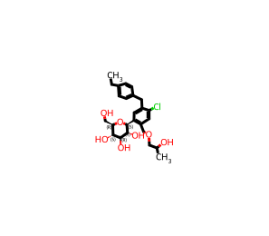 CCc1ccc(Cc2cc([C@@H]3O[C@H](CO)[C@@H](O)[C@H](O)[C@H]3O)c(COCC(C)O)cc2Cl)cc1